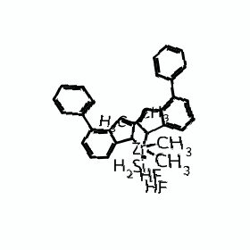 CC1=Cc2c(-c3ccccc3)cccc2[CH]1[Zr]([CH3])([CH3])(=[SiH2])[CH]1C(C)=Cc2c(-c3ccccc3)cccc21.F.F